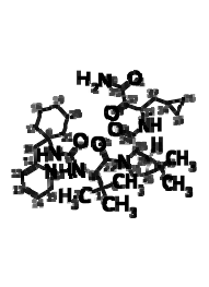 CC(C)(C)[C@H](NC(=O)NC1(Cc2ccccn2)CCCCC1)C(=O)N1CC2[C@@H]([C@H]1C(=O)NC(CC1CC1)C(=O)C(N)=O)C2(C)C